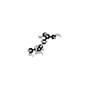 Cn1cc(-c2cc(-c3cnc(N4C[C@@H]5CC(C)(NC(=O)c6ccnc(C(F)(F)F)c6)C[C@@H]5C4)cn3)c3c(C#N)cnn3c2)cn1